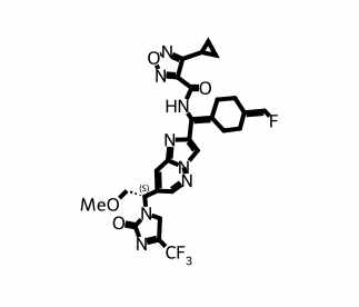 COC[C@H](c1cnn2cc(C(NC(=O)c3nonc3C3CC3)=C3CCC(=CF)CC3)nc2c1)N1CC(C(F)(F)F)=NC1=O